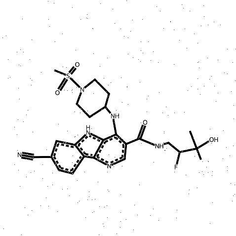 CC(C)(O)C(F)CNC(=O)c1cnc2c([nH]c3cc(C#N)ccc32)c1NC1CCN(S(C)(=O)=O)CC1